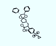 O=C(O)C(C[C@H]1CCC2(C1)O[C@H](c1ccccc1)[C@@H](c1ccccc1)O2)c1ccc(S(=O)(=O)C2CC2)cc1